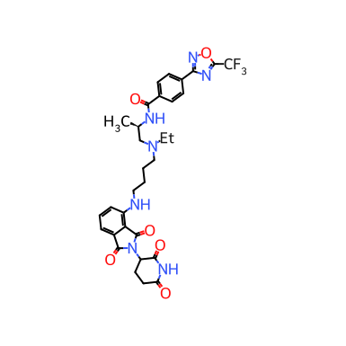 CCN(CCCCNc1cccc2c1C(=O)N(C1CCC(=O)NC1=O)C2=O)C[C@@H](C)NC(=O)c1ccc(-c2noc(C(F)(F)F)n2)cc1